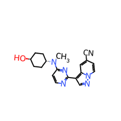 CN(c1ccnc(-c2cnn3ccc(C#N)cc23)n1)[C@H]1CC[C@H](O)CC1